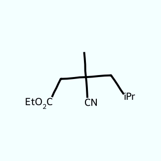 CCOC(=O)CC(C)(C#N)CC(C)C